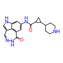 O=C1NN=Cc2c[nH]c3cc(NC(=O)C4CC4C4CCNCC4)cc1c23